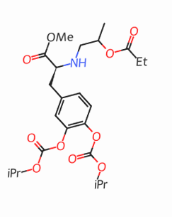 CCC(=O)OC(C)CN[C@@H](Cc1ccc(OC(=O)OC(C)C)c(OC(=O)OC(C)C)c1)C(=O)OC